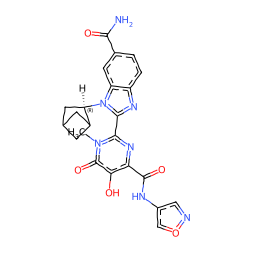 Cn1c(-c2nc3ccc(C(N)=O)cc3n2[C@@H]2CC3CC2C3)nc(C(=O)Nc2cnoc2)c(O)c1=O